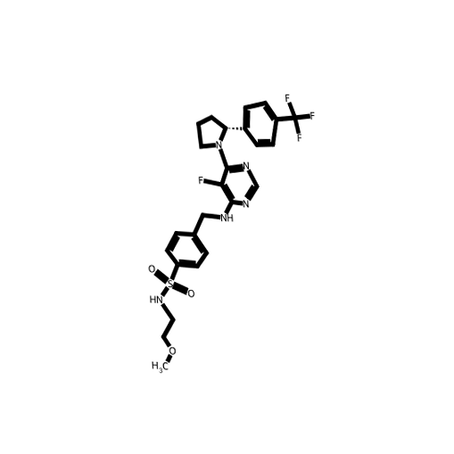 COCCNS(=O)(=O)c1ccc(CNc2ncnc(N3CCC[C@@H]3c3ccc(C(F)(F)F)cc3)c2F)cc1